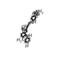 Cc1ccc2c(cc(C#CCNc3ccc(S(N)(=O)=O)cc3)n2CC(F)(F)F)c1NC1CCNCC1